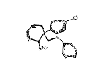 NC1N=CC=CC1(CSc1ccccc1)c1ccc(Cl)cc1